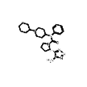 Nn1nnnc1[C@@H]1CCCN1C(=O)N(c1ccccc1)C1CCN(C2CCCCC2)CC1